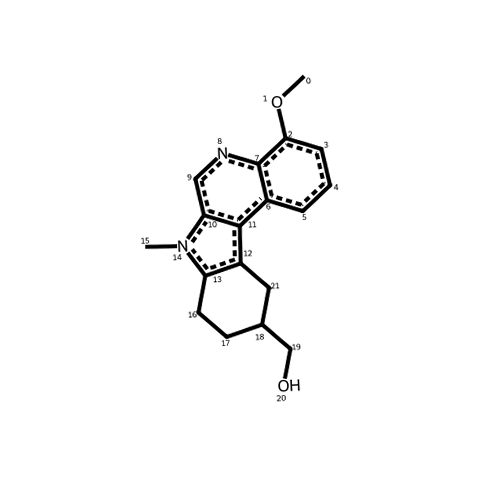 COc1cccc2c1ncc1c2c2c(n1C)CCC(CO)C2